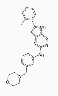 Cc1ccccc1-c1cc2nc(Nc3cccc(CN4CCOCC4)c3)ncc2[nH]1